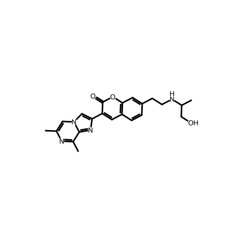 Cc1cn2cc(-c3cc4ccc(CCNC(C)CO)cc4oc3=O)nc2c(C)n1